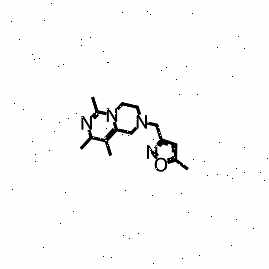 CC1=NC(C)C(C)=C2CN(Cc3cc(C)on3)CCN12